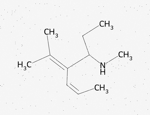 C/C=C\C(=C(C)C)C(CC)NC